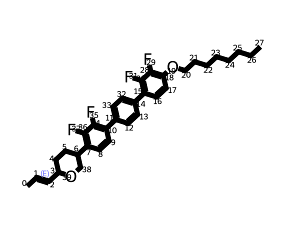 C/C=C/C1CCC(c2ccc(-c3ccc(-c4ccc(OCCCCCCCC)c(F)c4F)cc3)c(F)c2F)CO1